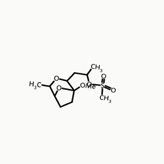 COC12CCC(O1)C(C)OC2CC(C)OS(C)(=O)=O